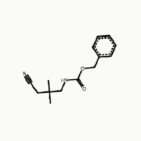 CC(C)(CC#N)CNC(=O)OCc1ccccc1